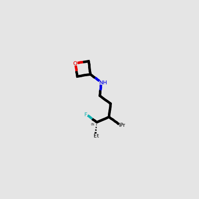 CC[C@H](F)C(CCNC1COC1)C(C)C